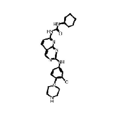 O=C(Nc1ccc2cnc(Nc3ccc(N4CCNCC4)c(Cl)c3)nc2n1)NC1CCCCC1